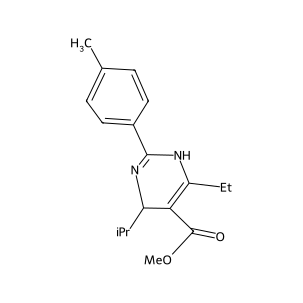 CCC1=C(C(=O)OC)C(C(C)C)N=C(c2ccc(C)cc2)N1